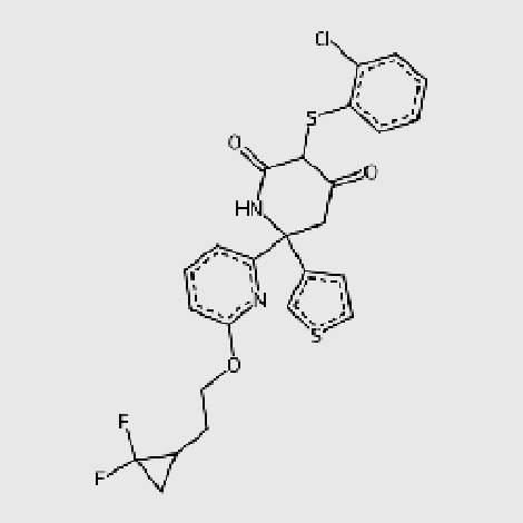 O=C1CC(c2ccsc2)(c2cccc(OCCC3CC3(F)F)n2)NC(=O)C1Sc1ccccc1Cl